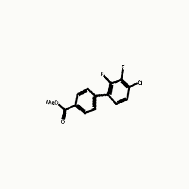 COC(=O)c1ccc(-c2ccc(Cl)c(F)c2F)cc1